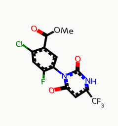 COC(=O)c1cc(-n2c(=O)cc(C(F)(F)F)[nH]c2=O)c(F)cc1Cl